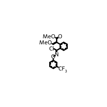 COC=C(C(=O)OC)c1ccccc1C(Cl)=NOc1cccc(C(F)(F)F)c1